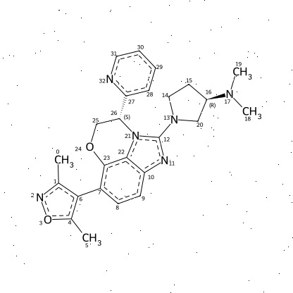 Cc1noc(C)c1-c1ccc2nc(N3CC[C@@H](N(C)C)C3)n3c2c1OC[C@@H]3c1ccccn1